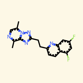 Cc1ncc(C)n2nc(CCc3ccc4c(F)cc(F)cc4n3)nc12